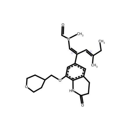 CC/C(C)=C/C(=C\N(C)C=O)c1cc2c(c(OCC3CCOCC3)c1)NC(=O)CC2